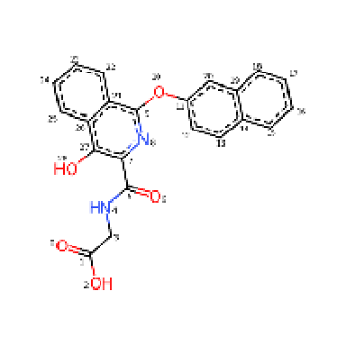 O=C(O)CNC(=O)c1nc(Oc2ccc3ccccc3c2)c2ccccc2c1O